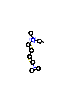 CC1C=CC(c2nc(-c3ccccc3)nc(-c3cccc4c3sc3ccc(-c5ccc6sc7cc(-n8c9ccccc9c9ccccc98)ccc7c6c5)cc34)n2)=CC1